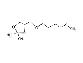 CSOCCCOCC1COC(C)(C)O1